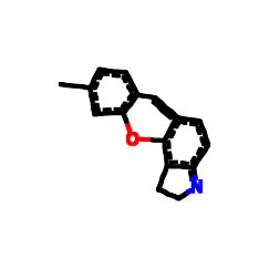 Cc1ccc2c(c1)Oc1c3c(ccc1=C2)=NCC3